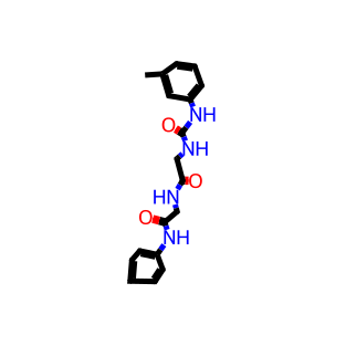 Cc1cccc(NC(=O)NCC(=O)NCC(=O)Nc2ccccc2)c1